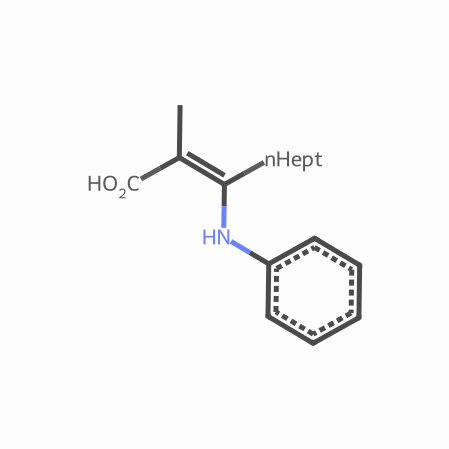 CCCCCCC/C(Nc1ccccc1)=C(\C)C(=O)O